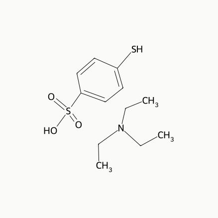 CCN(CC)CC.O=S(=O)(O)c1ccc(S)cc1